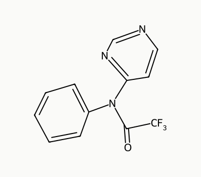 O=C(N(c1ccccc1)c1ccncn1)C(F)(F)F